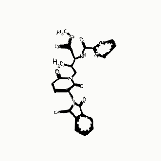 COC(=O)C(NC(=O)c1ncccn1)C(C)CN1C(=O)CC[C@H](N2C(=O)c3ccccc3C2=O)C1=O